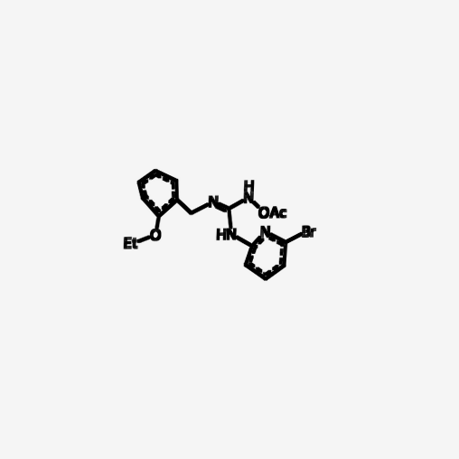 CCOc1ccccc1CN=C(NOC(C)=O)Nc1cccc(Br)n1